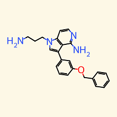 NCCCn1cc(-c2cccc(OCc3ccccc3)c2)c2c(N)nccc21